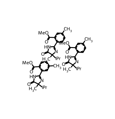 COC(=O)c1cc(C)ccc1C1=NC(C)(C(C)C)C(=O)N1.COC(=O)c1cc(C)ccc1C1=NC(C)(C(C)C)C(=O)N1.COC(=O)c1ccc(C)cc1C1=NC(C)(C(C)C)C(=O)N1